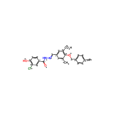 Cc1cc(/C=N/NC(=O)c2ccc(O)c(Cl)c2)cc(C(=O)O)c1OCc1ccc(C(C)C)cc1